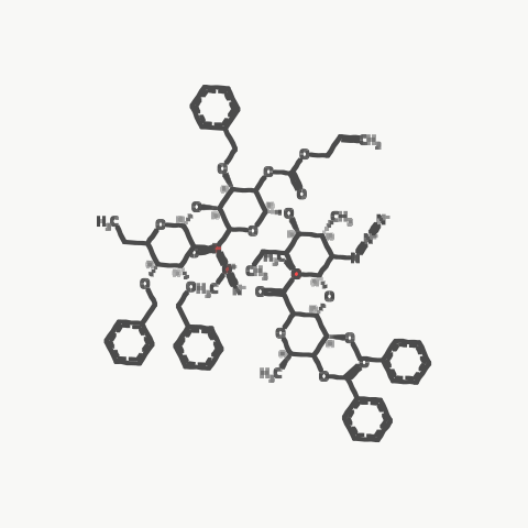 C=CCOC(=O)OC1[C@H](O[C@@H]2C(CC)O[C@@H](O[C@H]3C(C(=O)OC)O[C@H](C)C(OC(=O)c4ccccc4)[C@@H]3OCc3ccccc3)C(N=[N+]=[N-])[C@H]2C)OC(C(=O)OC)[C@@H](O[C@H]2OC(CC)[C@@H](OCc3ccccc3)[C@@H](OCc3ccccc3)C2N=[N+]=[N-])[C@H]1OCc1ccccc1